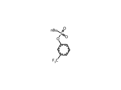 CCCCS(=O)(=O)Oc1cccc(C(F)(F)F)c1